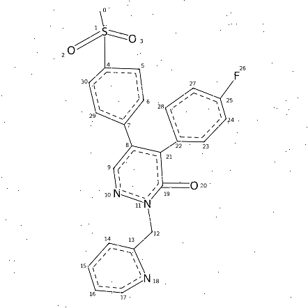 CS(=O)(=O)c1ccc(-c2cnn(Cc3ccccn3)c(=O)c2-c2ccc(F)cc2)cc1